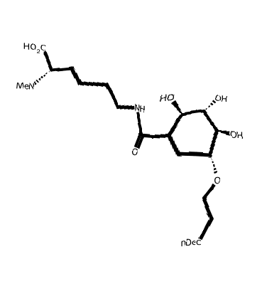 CCCCCCCCCCCCO[C@@H]1CC(C(=O)NCCCC[C@H](NC)C(=O)O)[C@@H](O)[C@H](O)[C@H]1O